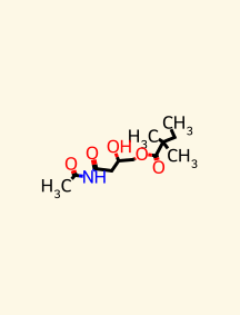 CCC(C)(C)C(=O)OCC(O)CC(=O)NC(C)=O